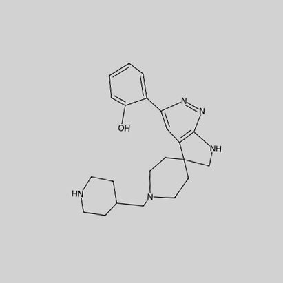 Oc1ccccc1-c1cc2c(nn1)NCC21CCN(CC2CCNCC2)CC1